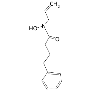 C=CCN(O)C(=O)CCCc1ccccc1